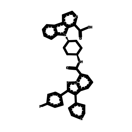 O=C(O)c1nccc2c3ccccc3n([C@H]3CC[C@H](NC(=O)c4cccc5c(-c6ccncc6)c(-c6ccc(F)cc6)nn45)CC3)c12